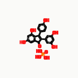 O=C1C(c2cc(O)cc(O)c2)=C(c2ccc(O)cc2)c2c(O)cc(O)cc21.O=P(O)(O)O